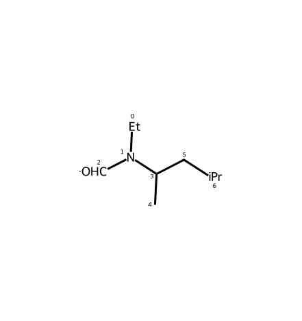 CCN([C]=O)C(C)CC(C)C